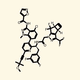 COC(C)(C)C#Cc1ccc(-c2ccc(Cl)c3c(NC(=O)c4ccno4)nn(C)c23)c([C@H](Cc2cc(F)cc(F)c2)NC(=O)Cn2nc(C(F)F)c3c2C(F)(F)[C@@H]2C#C[C@H]32)n1